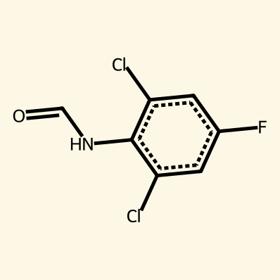 O=CNc1c(Cl)cc(F)cc1Cl